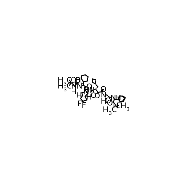 CN(C)C(=O)[C@@H](NC(=O)CNC(=O)C(=O)[C@H](CC1CCC1)NC(=O)[C@@H]1[C@H]2CC(F)(F)C[C@H]2CN1C(=O)[C@@H](NC(=O)NC(C)(C)C)C1CCCCC1)c1ccccc1